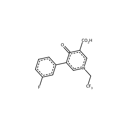 O=C(O)c1cn(CC(F)(F)F)cc(-c2cccc(F)c2)c1=O